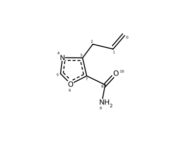 C=CCc1ncoc1C(N)=O